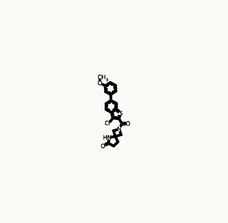 COc1cccc(-c2ccc3c(Cl)c(C(=O)N4CC5(CCC(=O)N5)C4)sc3c2)c1